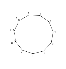 [CH]1CCCCCCCSSS1